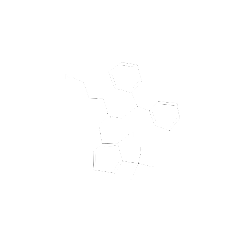 FC(F)(F)c1cccc(CN(CCCBr)CC(c2ccccc2)c2ccccc2)c1Cl